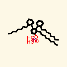 CCCCCCCCCc1c(OP(=O)(O)O)ccc(-c2ccccc2CCCCCCCC)c1-c1ccccc1CCCCCCCC